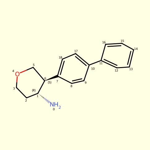 N[C@@H]1CCOC[C@H]1c1ccc(-c2ccccc2)cc1